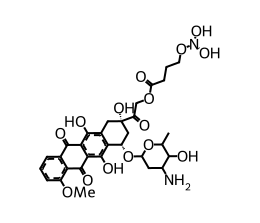 COc1cccc2c1C(=O)c1c(O)c3c(c(O)c1C2=O)C[C@@](O)(C(=O)COC(=O)CCCON(O)O)C[C@@H]3OC1CC(N)C(O)C(C)O1